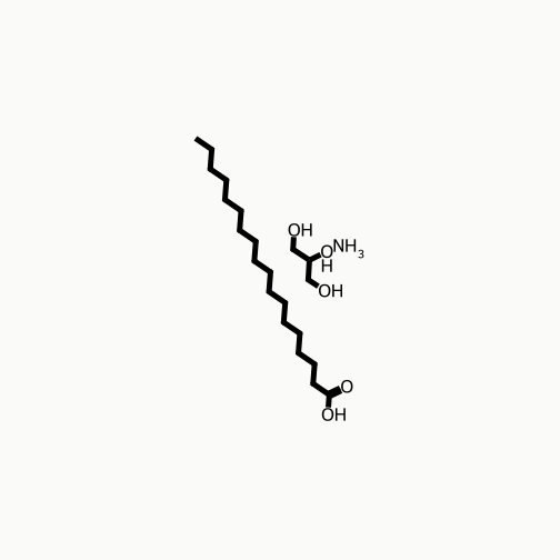 CCCCCCCCCCCCCCCCCC(=O)O.N.OCC(O)CO